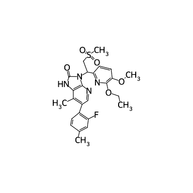 CCOc1nc(C(CS(C)(=O)=O)n2c(=O)[nH]c3c(C)c(-c4ccc(C)cc4F)cnc32)ccc1OC